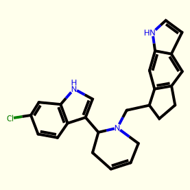 Clc1ccc2c(C3CC=CCN3CC3CCc4cc5cc[nH]c5cc43)c[nH]c2c1